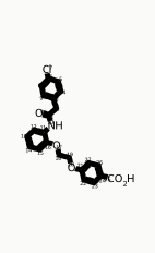 O=C(Cc1ccc(Cl)cc1)Nc1ccccc1OCCOc1ccc(C(=O)O)cc1